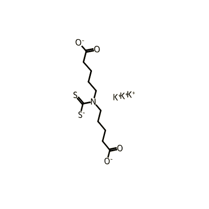 O=C([O-])CCCCN(CCCCC(=O)[O-])C(=S)[S-].[K+].[K+].[K+]